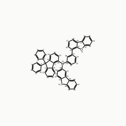 c1ccc(C2(c3ccccc3)c3ccccc3-c3c(N(c4cccc(-c5cccc6c5oc5ccccc56)c4)c4ccc5sc6ccccc6c5c4)cccc32)cc1